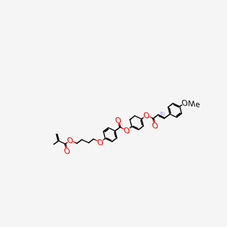 C=C(C)C(=O)OCCCCOc1ccc(C(=O)OC2=CC=C(OC(=O)/C=C/c3ccc(OC)cc3)CC2)cc1